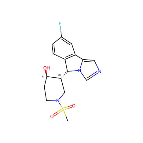 CS(=O)(=O)N1CC[C@@H](O)[C@H](C2c3ccc(F)cc3-c3cncn32)C1